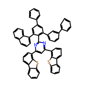 c1ccc(-c2cccc(-c3cc(-c4ccccc4)cc(-c4cccc5ccccc45)c3-c3nc(-c4cccc5c4sc4ccccc45)cc(-c4cccc5c4sc4ccccc45)n3)c2)cc1